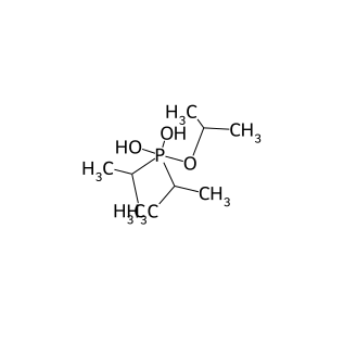 CC(C)OP(O)(O)(C(C)C)C(C)C